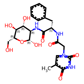 Cc1cn(CC(=O)N[C@@H](Cc2ccccc2)C(=O)N[C@@H]2[C@@H](O)[C@H](O)[C@@H](CO)O[C@H]2O)c(=O)[nH]c1=O